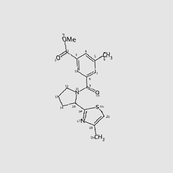 COC(=O)c1cc(C)cc(C(=O)N2CCCC2c2nc(C)cs2)c1